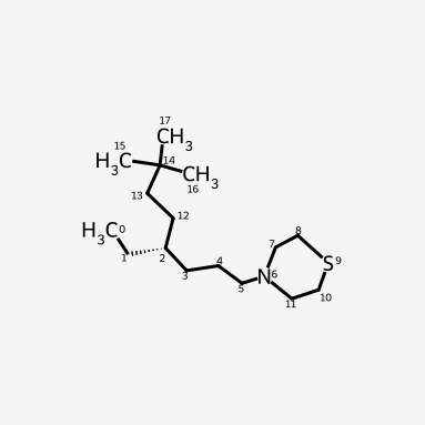 CC[C@@H](CCCN1CCSCC1)CCC(C)(C)C